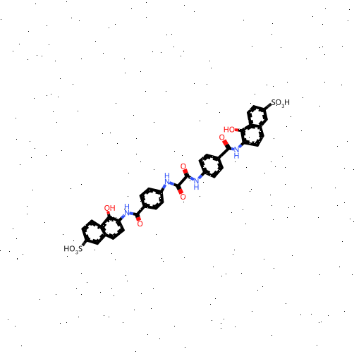 O=C(Nc1ccc(C(=O)Nc2ccc3cc(S(=O)(=O)O)ccc3c2O)cc1)C(=O)Nc1ccc(C(=O)Nc2ccc3cc(S(=O)(=O)O)ccc3c2O)cc1